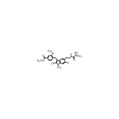 COC(=O)c1ccc(Cc2c(Cl)n(C)c3cc(Cl)c(CCNC(=O)N(C)C)cc23)c(OC)c1